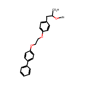 CCCOC(Cc1ccc(OCCOc2ccc(-c3ccccc3)cc2)cc1)C(=O)O